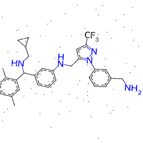 Cc1ccc(C)c(C(NCC2CC2)c2cccc(NCc3cc(C(F)(F)F)nn3-c3cccc(CN)c3)c2)c1